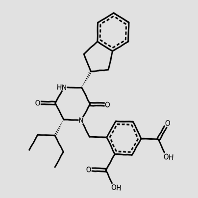 CCC(CC)[C@@H]1C(=O)N[C@H](C2Cc3ccccc3C2)C(=O)N1Cc1ccc(C(=O)O)cc1C(=O)O